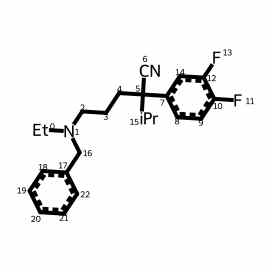 CCN(CCCC(C#N)(c1ccc(F)c(F)c1)C(C)C)Cc1ccccc1